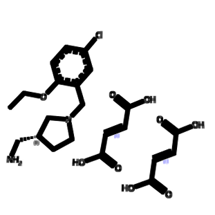 CCOc1ccc(Cl)cc1CN1CC[C@H](CN)C1.O=C(O)/C=C/C(=O)O.O=C(O)/C=C/C(=O)O